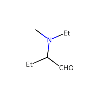 CCC(C=O)N(C)CC